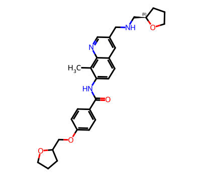 Cc1c(NC(=O)c2ccc(OCC3CCCO3)cc2)ccc2cc(CNC[C@H]3CCCO3)cnc12